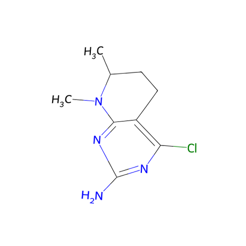 CC1CCc2c(Cl)nc(N)nc2N1C